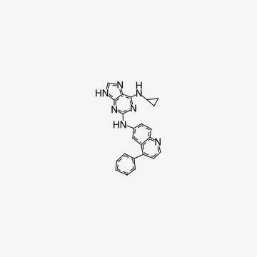 c1ccc(-c2ccnc3ccc(Nc4nc(NC5CC5)c5nc[nH]c5n4)cc23)cc1